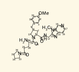 COc1ccc(CC2CC(C(=O)NCc3nc4ccncc4n3C)N(C(=O)C(N)CCC(=O)N3CCCC3)C2)cc1